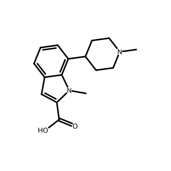 CN1CCC(c2cccc3cc(C(=O)O)n(C)c23)CC1